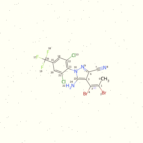 C/C(Br)=C(/Br)c1c(C#N)nn(-c2c(Cl)cc(C(F)(F)F)cc2Cl)c1N